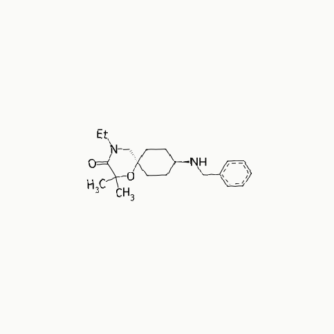 CCN1C[C@]2(CC[C@H](NCc3ccccc3)CC2)OC(C)(C)C1=O